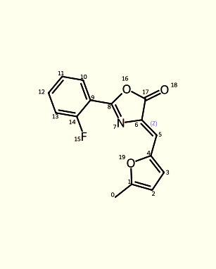 Cc1ccc(/C=C2\N=C(c3ccccc3F)OC2=O)o1